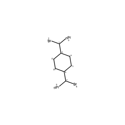 CCCC(Br)C1[CH]CC(C(Br)CCC)[CH]C1